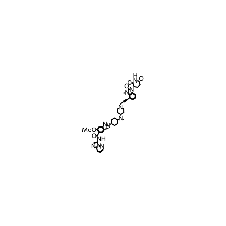 COc1cc2nn(C3CCC(N(C)C4CCN(CC#Cc5cccc6c5n(C)c(=O)n6C5CCC(=O)NC5=O)CC4)CC3)cc2cc1C(=O)Nc1cnc2cccnn12